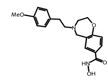 COc1ccc(CCN2CCOc3ccc(C(=O)NO)cc3C2)cc1